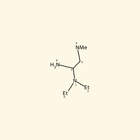 CCN(CC)C(N)CNC